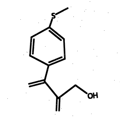 C=C(CO)C(=C)c1ccc(SC)cc1